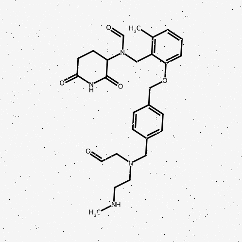 CNCCN(CC=O)Cc1ccc(COc2cccc(C)c2CN(C=O)C2CCC(=O)NC2=O)cc1